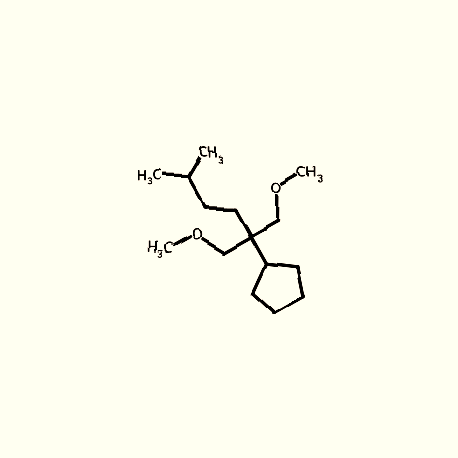 COCC(CCC(C)C)(COC)C1CCCC1